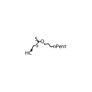 C#CCSC(=S)OCCCCCCCC